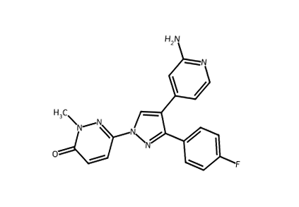 Cn1nc(-n2cc(-c3ccnc(N)c3)c(-c3ccc(F)cc3)n2)ccc1=O